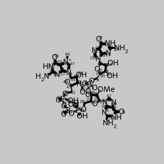 CO[C@@H]1[C@H](OP(=O)(O)OC[C@H]2O[C@@H](n3cnc4c(=O)[nH]c(N)nc43)[C@H](O)[C@@H]2O)C(COP(=O)(O)OP(=O)(O)OP(=O)(O)OC[C@H]2OC(n3c[n+](C)c4c(=O)[nH]c(N)nc43)[C@H](O)[C@@H]2COC(F)(F)F)O[C@H]1n1cnc2c(=O)[nH]c(N)nc21